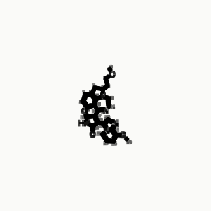 COCCC1Cc2cccc3c2N1C=CN=C3C1=C(c2cnc3c(OC)cccn23)C(=O)NC1=O